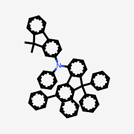 CC1(C)c2ccccc2-c2ccc(N(c3ccccc3)c3cccc4c3-c3cc(-c5ccccc5)c5ccccc5c3C4(c3ccccc3)c3ccccc3)cc21